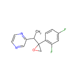 CC(c1cnccn1)C1(c2ccc(F)cc2F)CO1